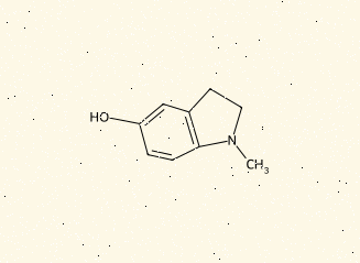 CN1CCc2cc(O)ccc21